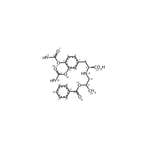 CCCC(=O)Oc1ccc(C[C@H](NCC(C)OC(=O)c2ccccc2)C(=O)O)cc1OC(=O)CCC